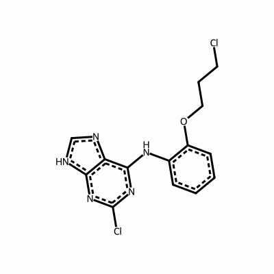 ClCCCOc1ccccc1Nc1nc(Cl)nc2[nH]cnc12